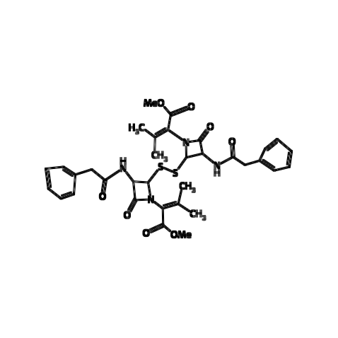 COC(=O)C(=C(C)C)N1C(=O)C(NC(=O)Cc2ccccc2)C1SSC1C(NC(=O)Cc2ccccc2)C(=O)N1C(C(=O)OC)=C(C)C